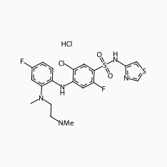 CNCCN(C)c1cc(F)ccc1Nc1cc(F)c(S(=O)(=O)Nc2cscn2)cc1Cl.Cl